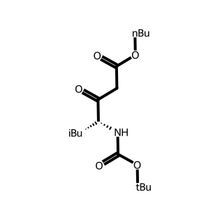 CCCCOC(=O)CC(=O)[C@H](NC(=O)OC(C)(C)C)[C@@H](C)CC